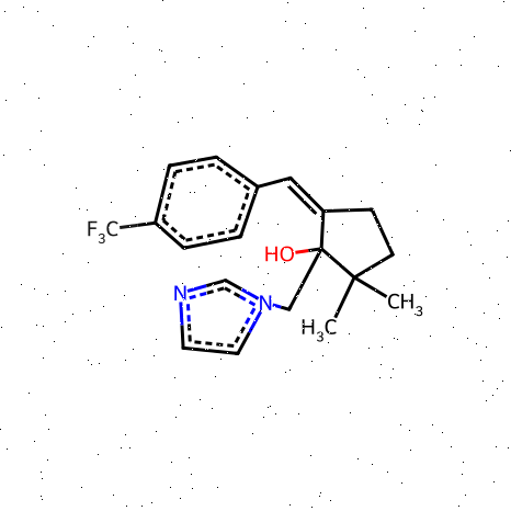 CC1(C)CCC(=Cc2ccc(C(F)(F)F)cc2)C1(O)Cn1ccnc1